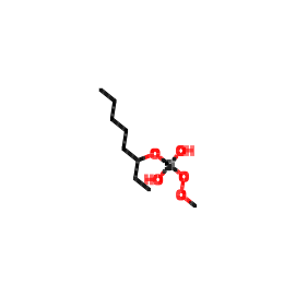 CCCCCC(CC)O[Si](O)(O)OOC